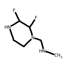 CNCN1CCNC(F)C1F